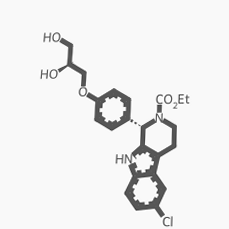 CCOC(=O)N1CCc2c([nH]c3ccc(Cl)cc23)[C@@H]1c1ccc(OC[C@@H](O)CO)cc1